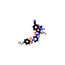 Cc1ccc(S(=O)(=O)N2CCC[C@@H](C(=O)N[C@@](C)(Cc3ccc(C#N)cc3)c3cnc[nH]3)C2)cc1